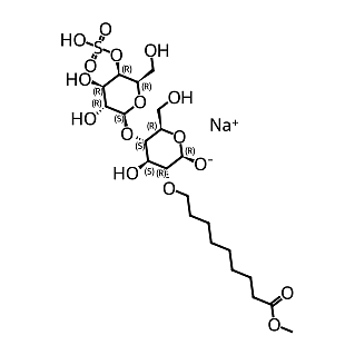 COC(=O)CCCCCCCCO[C@@H]1[C@@H](O)[C@H](O[C@@H]2O[C@H](CO)[C@H](OS(=O)(=O)O)[C@H](O)[C@H]2O)[C@@H](CO)O[C@H]1[O-].[Na+]